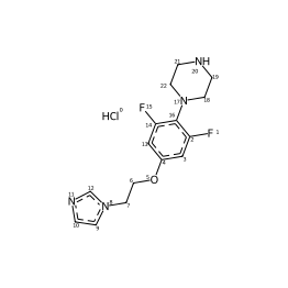 Cl.Fc1cc(OCCn2ccnc2)cc(F)c1N1CCNCC1